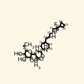 CS[C@H]1O[C@H]([C@H](NC(=O)[C@@H]2CC=C(/C=C/CNCC(F)(F)C3CCC3)CCN2)[C@H](C)Cl)[C@H](O)[C@H](O)[C@H]1O